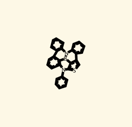 c1ccc(N2c3cccc4c3B3c5c(csc52)-c2ccccc2N3c2ccccc2-4)cc1